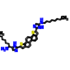 CCCCCCCCNc1cnc(-c2cc3ccc4c5ccc6cc(-c7ncc(C(N)CCCCCCC)[nH]7)sc6c5ccc4c3s2)[nH]1